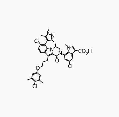 Cc1cc(OCCCc2c3n(c4c(-c5c(C)nn(C)c5C)c(Cl)ccc24)C(C)CN(c2cc(Cl)cc4c(C(=O)O)cn(C)c24)C3=O)cc(C)c1Cl